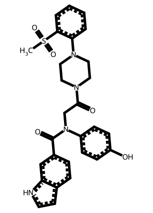 CS(=O)(=O)c1ccccc1N1CCN(C(=O)CN(C(=O)c2ccc3cc[nH]c3c2)c2ccc(O)cc2)CC1